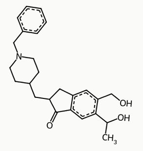 CC(O)c1cc2c(cc1CO)CC(CC1CCN(Cc3ccccc3)CC1)C2=O